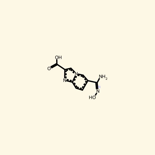 N/C(=N/O)c1ccc2nc(C(=O)O)cn2c1